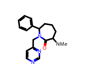 CNC1CCCC(c2ccccc2)N(Cc2ccncn2)C1=O